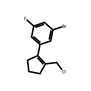 Fc1cc(Br)cc(C2=C(CCl)CCC2)c1